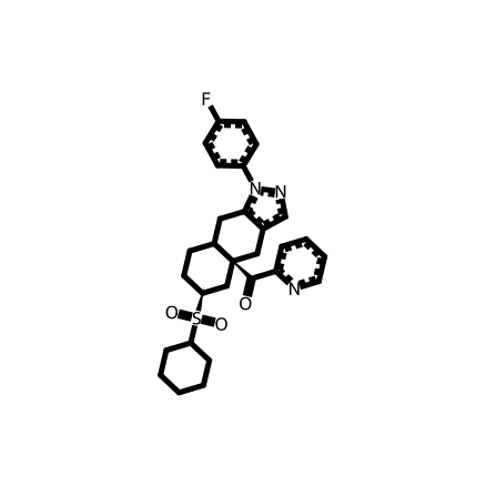 O=C(c1ccccn1)[C@]12Cc3cnn(-c4ccc(F)cc4)c3CC1CC[C@H](S(=O)(=O)C1CCCCC1)C2